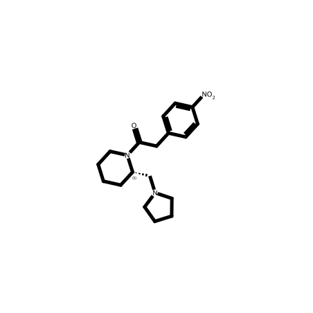 O=C(Cc1ccc([N+](=O)[O-])cc1)N1CCCC[C@H]1CN1CCCC1